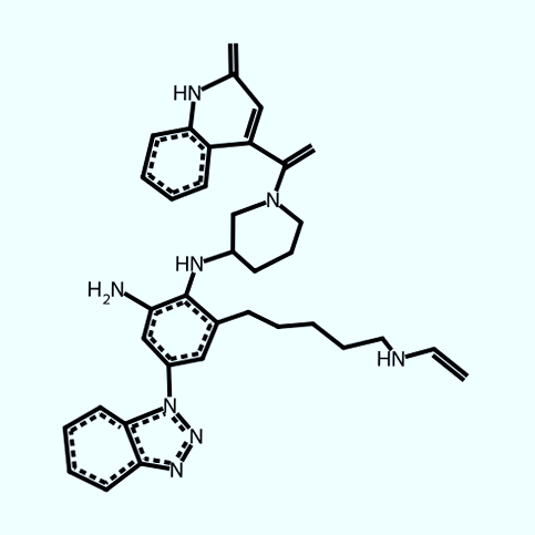 C=CNCCCCCc1cc(-n2nnc3ccccc32)cc(N)c1NC1CCCN(C(=C)C2=CC(=C)Nc3ccccc32)C1